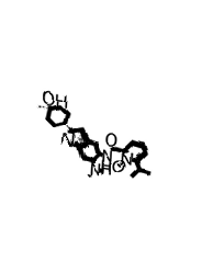 CC(C)c1cccc(C(=O)Nc2cc3c(cc2N(C)C)=[N+]=C([C@H]2CC[C@](C)(O)CC2)C=3)[n+]1O